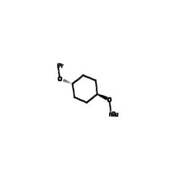 CCCCO[C@H]1CC[C@H](OC(C)C)CC1